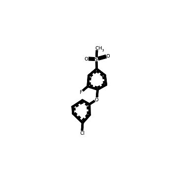 CS(=O)(=O)c1ccc(Oc2c[c]cc(Cl)c2)c(F)c1